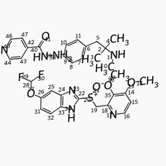 CNC(C)(C)Cc1ccccc1.COc1ccnc(C[S+]([O-])c2nc3cc(OC(F)F)ccc3[nH]2)c1OC.NNC(=O)c1ccncc1